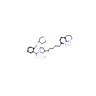 O=C(O)C(c1cc(F)ccc1COC1CCOCC1)N1CCC(C(F)CCCCc2ccc3c(n2)NCCC3)C1